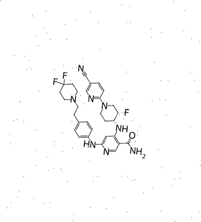 N#Cc1ccc(N2CC[C@@H](Nc3cc(Nc4ccc(CCN5CCC(F)(F)CC5)cc4)ncc3C(N)=O)[C@@H](F)C2)nc1